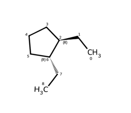 CC[C@@H]1CCC[C@H]1CC